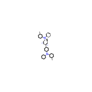 C#C/C=C(\C=C/CN(C1=CC=CCC1)c1cccc(C)c1)c1ccc(N(c2ccccc2)c2cccc(C)c2)cc1